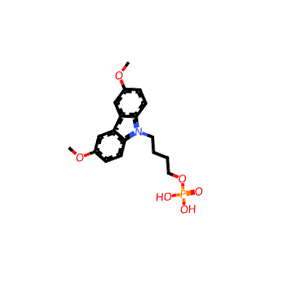 COc1ccc2c(c1)c1cc(OC)ccc1n2CCCCOP(=O)(O)O